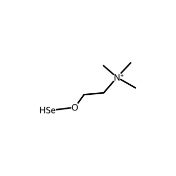 C[N+](C)(C)CCO[SeH]